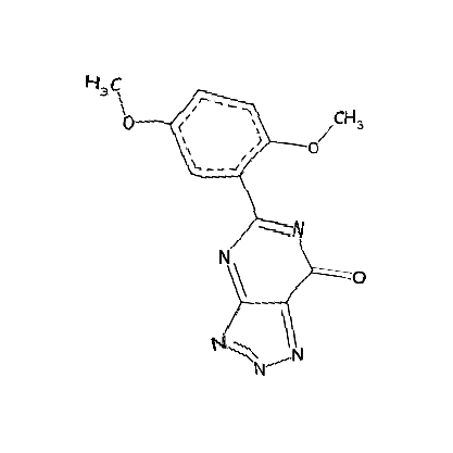 COc1ccc(OC)c(C2=NC(=O)C3=NN=NC3=N2)c1